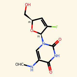 O=CNc1cn([C@H]2O[C@@H](CO)C=C2F)c(=O)[nH]c1=O